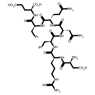 CC(C)C[C@H](NC(=O)[C@H](CCC(N)=O)NC(=O)[C@H](CC(N)=O)NC(=O)[C@H](CC(C)C)NC(=O)[C@H](CCCNC(=N)N)NC(=O)[C@@H](N)CC(=O)O)C(=O)N[C@@H](CCC(=O)O)C(=O)O